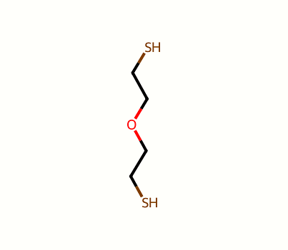 SCCOCCS